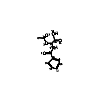 CC(=O)OC(NC(=O)c1ccccc1)C(=O)O